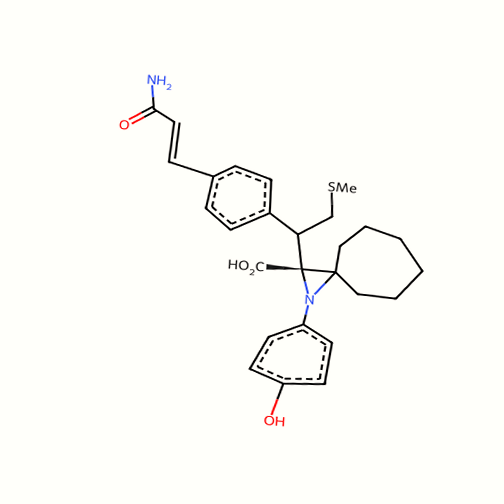 CSCC(c1ccc(/C=C/C(N)=O)cc1)[C@@]1(C(=O)O)N(c2ccc(O)cc2)C12CCCCCC2